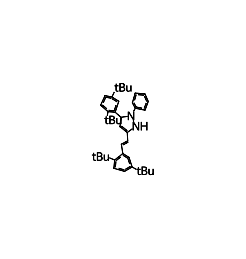 CC(C)(C)c1ccc(C(C)(C)C)c(C=CC2=CC(c3cc(C(C)(C)C)ccc3C(C)(C)C)N(c3ccccc3)N2)c1